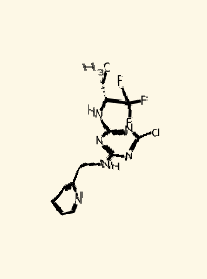 CC[C@@H](Nc1nc(Cl)nc(NCc2ccccn2)n1)C(F)(F)F